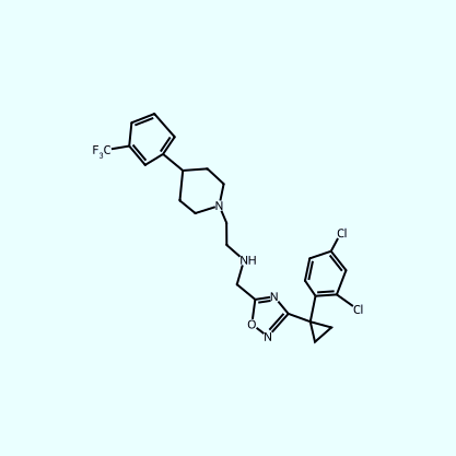 FC(F)(F)c1cccc(C2CCN(CCNCc3nc(C4(c5ccc(Cl)cc5Cl)CC4)no3)CC2)c1